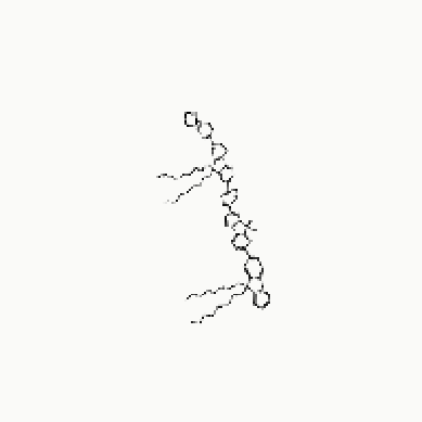 CCCCCCCCC1(CCCCCCCC)c2ccccc2-c2ccc(-c3ccc4c(c3)C(C)(C)c3cc(-c5ccc(-c6ccc7c(c6)C(CCCCCCCC)(CCCCCCCC)c6cc(-c8ccc(Cl)cc8)ccc6-7)cc5)ccc3-4)cc21